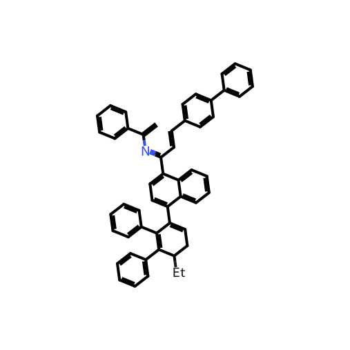 C=C(/N=C(\C=C\c1ccc(-c2ccccc2)cc1)c1ccc(C2=CCC(CC)C(c3ccccc3)=C2c2ccccc2)c2ccccc12)c1ccccc1